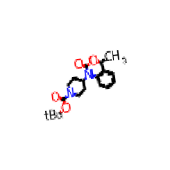 CC1OC(=O)N(C2CCN(C(=O)OC(C)(C)C)CC2)c2ccccc21